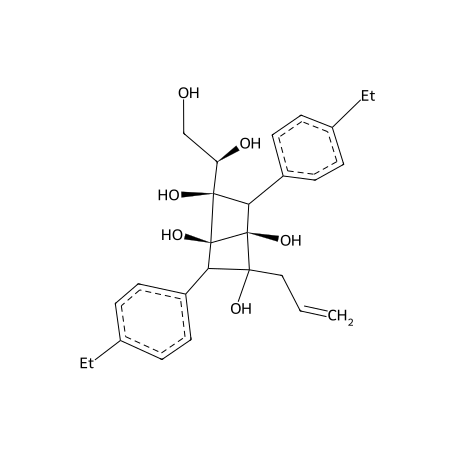 C=CCC1(O)C(c2ccc(CC)cc2)[C@]2(O)[C@](O)([C@H](O)CO)C(c3ccc(CC)cc3)[C@]12O